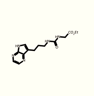 CCOC(=O)CNC(=O)NCCCc1c[nH]c2nccnc12